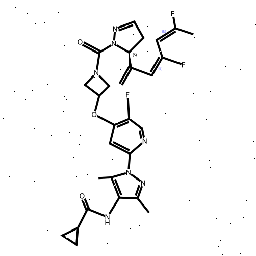 C=C(/C=C(F)\C=C(/C)F)[C@@H]1CC=NN1C(=O)N1CC(Oc2cc(-n3nc(C)c(NC(=O)C4CC4)c3C)ncc2F)C1